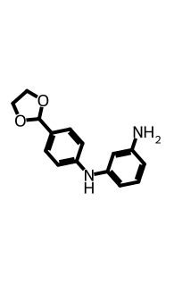 Nc1cccc(Nc2ccc(C3OCCO3)cc2)c1